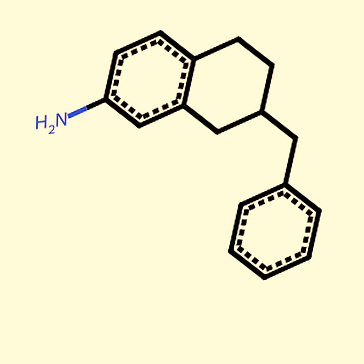 Nc1ccc2c(c1)CC(Cc1ccccc1)CC2